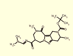 CC1Cc2nn3c(c2CN1C(=O)OC(C)(C)C)C(=O)N(C)CC(C(=O)/N=C/N(C)C)C3